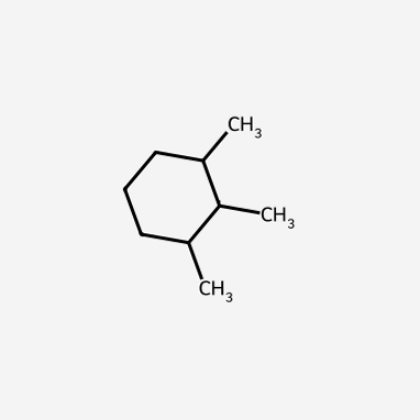 C[C]1C(C)CCCC1C